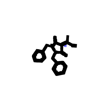 C/C(O)=C1\C(=O)[C@H](Cc2ccccc2)N(Cc2ccccc2)C1=O